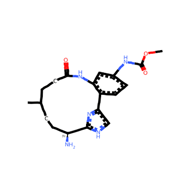 COC(=O)Nc1ccc2c(c1)NC(=O)CCC(C)CC[C@H](N)c1nc-2c[nH]1